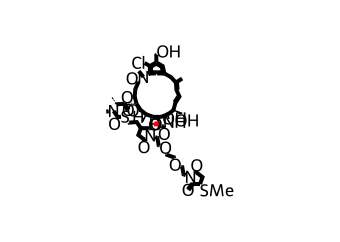 CSC1CC(=O)N(CCOCCOCCN2C(=O)CC(CCSC(=O)N(C)[C@H](C)C(=O)O[C@H]3CC(=O)N(C)c4cc(cc(CO)c4Cl)C/C(C)=C/C=C/[C@@H](CO)[C@@]4(O)C[C@H](OC(=O)N4)[C@@H](C)[C@@H]4O[C@@]34C)C2=O)C1=O